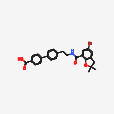 CC1(C)Cc2cc(Br)cc(C(=O)NCCc3ccc(-c4ccc(C(=O)O)cc4)cc3)c2O1